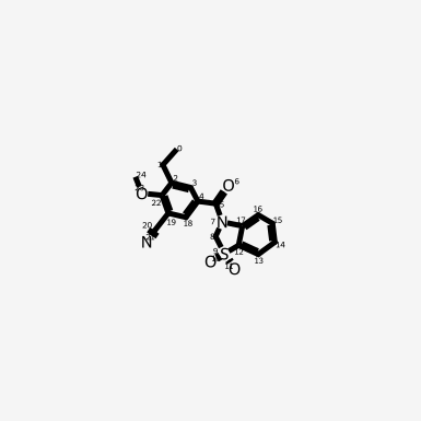 CCc1cc(C(=O)N2CS(=O)(=O)c3ccccc32)cc(C#N)c1OC